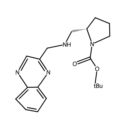 CC(C)(C)OC(=O)N1CCC[C@H]1CNCc1cnc2ccccc2n1